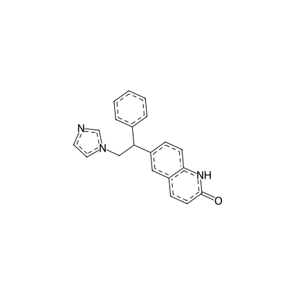 O=c1ccc2cc(C(Cn3ccnc3)c3ccccc3)ccc2[nH]1